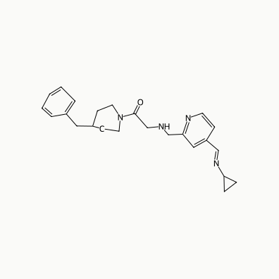 O=C(CNCc1cc(C=NC2CC2)ccn1)N1CCC(Cc2ccccc2)CC1